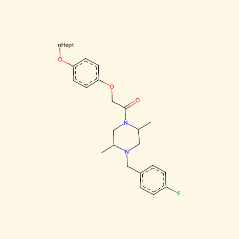 CCCCCCCOc1ccc(OCC(=O)N2CC(C)N(Cc3ccc(F)cc3)CC2C)cc1